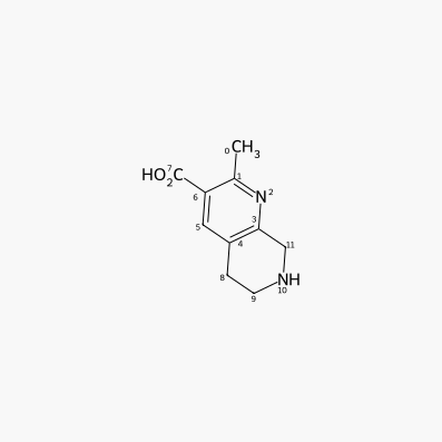 Cc1nc2c(cc1C(=O)O)CCNC2